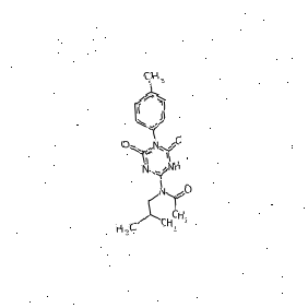 CC(=O)N(CC(C)C)c1nc(=O)n(-c2ccc(C)cc2)c(=O)[nH]1